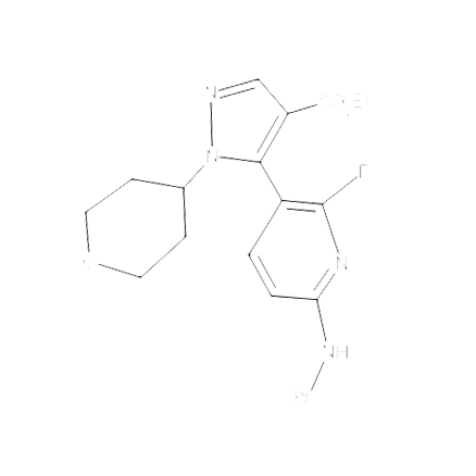 CCOC(=O)c1cnn(C2CCOCC2)c1-c1ccc(NC(C)C)nc1F